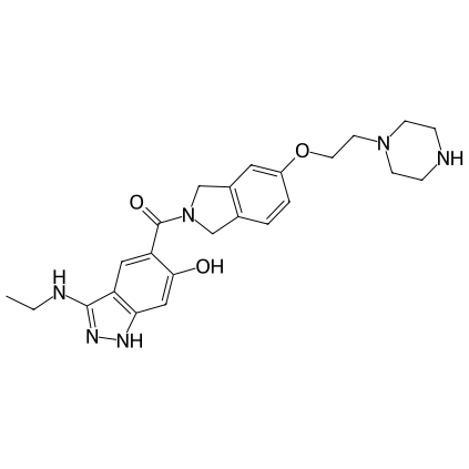 CCNc1n[nH]c2cc(O)c(C(=O)N3Cc4ccc(OCCN5CCNCC5)cc4C3)cc12